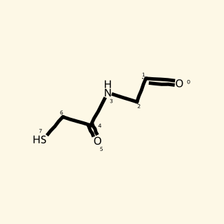 O=[C]CNC(=O)CS